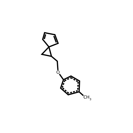 Cc1ccc(OCC2CC23C=CC=C3)cc1